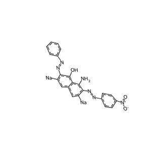 Nc1c(N=Nc2ccc([N+](=O)[O-])cc2)[c]([Na])cc2c[c]([Na])c(N=Nc3ccccc3)c(O)c12